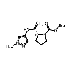 C=C(Nc1cnn(C)c1)[C@H]1CCCN1C(=O)OC(C)(C)C